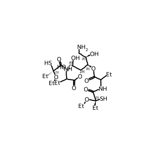 CCO[C@](S)(CC)C(=O)NC(CC)C(=O)O[C@@H]([C@H](OC(=O)C(CC)NC(=O)[C@@](S)(CC)OCC)[C@@H](O)C(=O)O)[C@H](O)CN